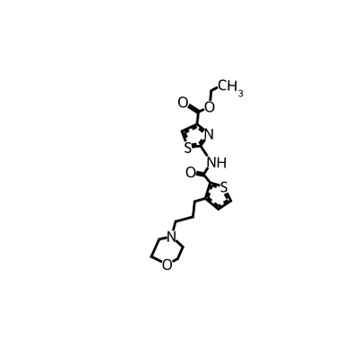 CCOC(=O)c1csc(NC(=O)c2sccc2CCCN2CCOCC2)n1